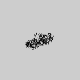 COc1ncccc1-c1ccc(O)c(-c2nc3cc(C(=O)NC(C)c4ccccc4-n4cccn4)ccc3[nH]2)c1